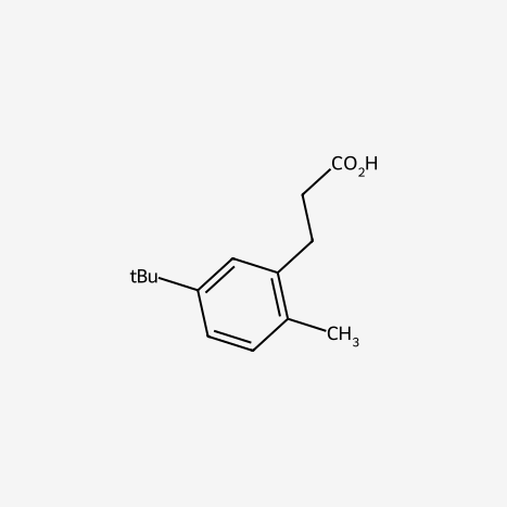 Cc1ccc(C(C)(C)C)cc1CCC(=O)O